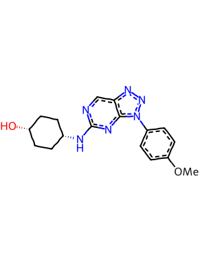 COc1ccc(-n2nnc3cnc(N[C@H]4CC[C@@H](O)CC4)nc32)cc1